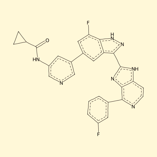 O=C(Nc1cncc(-c2cc(F)c3[nH]nc(-c4nc5c(-c6cccc(F)c6)nccc5[nH]4)c3c2)c1)C1CC1